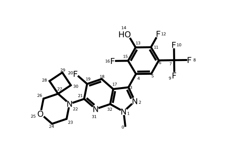 Cn1nc(-c2cc(C(F)(F)F)c(F)c(O)c2F)c2cc(F)c(N3CCOCC34CCC4)nc21